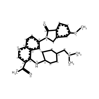 COc1ccc2c(c1)CN(c1ccc3ncc(C(C)=O)c(NC4CCC(CN(C)C)CC4)c3c1)C2=O